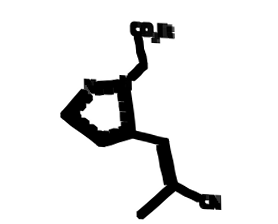 CCOC(=O)Cn1nccc1/C=C(\C)C#N